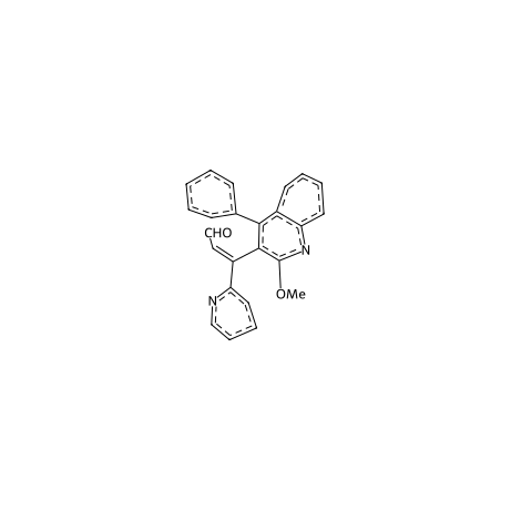 COc1nc2ccccc2c(-c2ccccc2)c1/C(=C\C=O)c1ccccn1